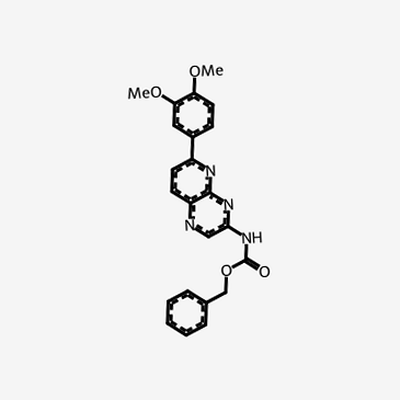 COc1ccc(-c2ccc3ncc(NC(=O)OCc4ccccc4)nc3n2)cc1OC